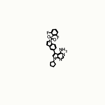 Nc1ncnc2c1c(-c1ccc3c(ccn3S(=O)(=O)c3c(F)cccc3F)c1)cn2C1CCCC1